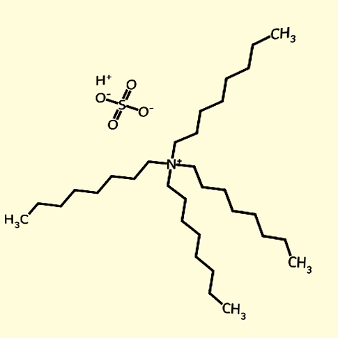 CCCCCCCC[N+](CCCCCCCC)(CCCCCCCC)CCCCCCCC.O=S(=O)([O-])[O-].[H+]